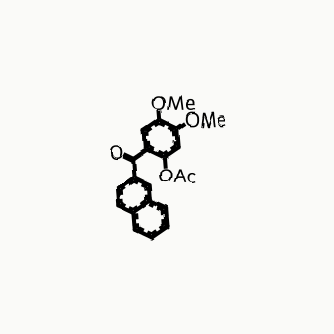 COc1cc(OC(C)=O)c(C(=O)c2ccc3ccccc3c2)cc1OC